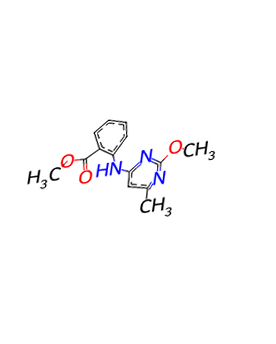 COC(=O)c1ccccc1Nc1cc(C)nc(OC)n1